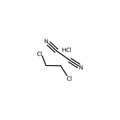 Cl.ClCCCl.N#CC#N